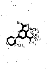 CC(c1cc(N2CCOC[C@H]2C)nc2c(Br)nn(C)c12)S(C)(=O)=O